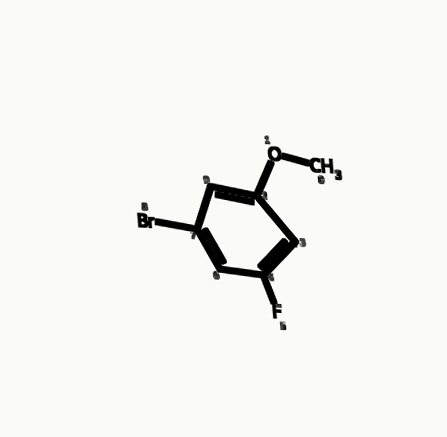 COc1[c]c(F)cc(Br)c1